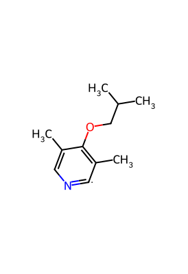 Cc1[c]ncc(C)c1OCC(C)C